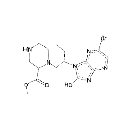 CCC(CN1CCNCC1C(=O)OC)n1c(O)nc2ncc(Br)nc21